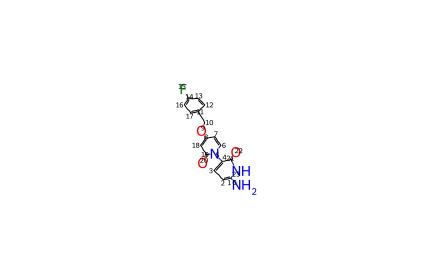 Nc1ccc(-n2ccc(OCc3ccc(F)cc3)cc2=O)c(=O)[nH]1